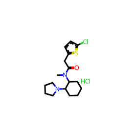 CN(C(=O)Cc1ccc(Cl)s1)C1CCCCC1N1CCCC1.Cl